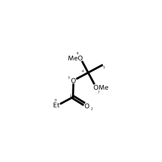 CCC(=O)OC(C)(OC)OC